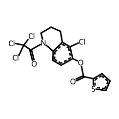 O=C(Oc1ccc2c(c1Cl)CCCN2C(=O)C(Cl)(Cl)Cl)c1cccs1